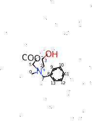 C[N+](CCO)(CC(=O)[O-])Cc1ccccc1